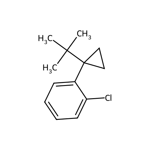 CC(C)(C)C1(c2ccccc2Cl)CC1